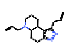 C=CCc1[nH]nc2c1C1CCCN(CC=C)C1CC2